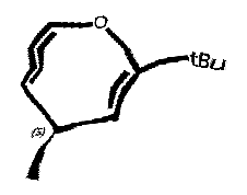 C[C@H]1C=COC(C(C)(C)C)=C1